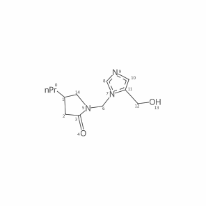 CCCC1CC(=O)N(Cn2cncc2CO)C1